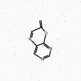 C=C1C=Nc2cncnc2O1